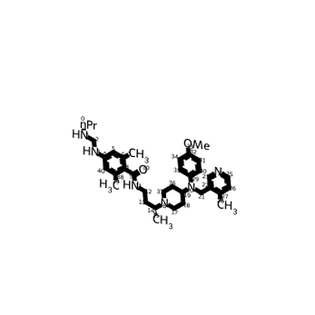 CCCNCNc1cc(C)c(C(=O)NCC[C@@H](C)N2CCC(N(Cc3cnccc3C)c3ccc(OC)cc3)CC2)c(C)c1